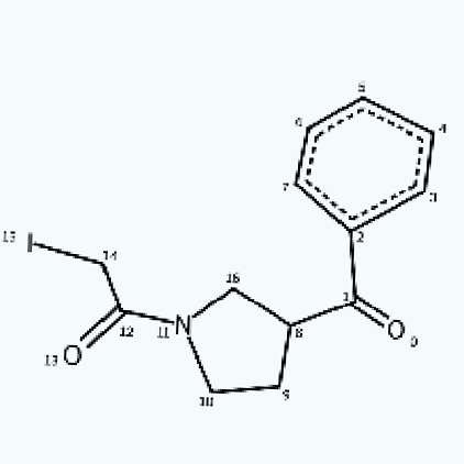 O=C(c1ccccc1)C1CCN(C(=O)CI)C1